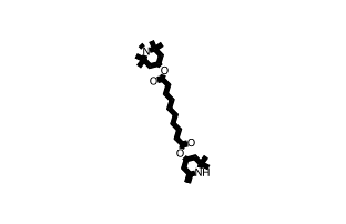 C=C1CC(OC(=O)CCCCCCCCC(=O)OC2CC(C)(C)N(C)C(C)(C)C2)CC(C)(C)N1